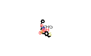 O=CN(O)[C@@H](COCc1ccccc1)CS(=O)(=O)Cc1ccc2sccc2c1